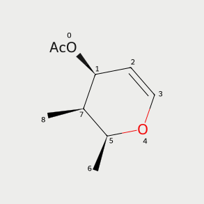 CC(=O)O[C@H]1C=CO[C@@H](C)[C@H]1C